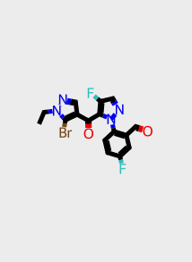 CCn1ncc(C(=O)c2c(F)cnn2-c2ccc(F)cc2C=O)c1Br